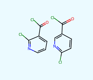 O=C(Cl)c1ccc(Cl)nc1.O=C(Cl)c1cccnc1Cl